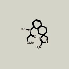 COCC(=O)N(C)c1cccc2c1CC1(CC2)COC(N)=N1